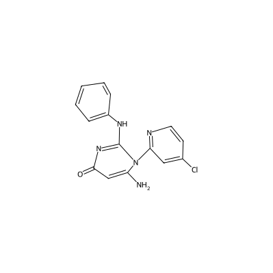 Nc1cc(=O)nc(Nc2ccccc2)n1-c1cc(Cl)ccn1